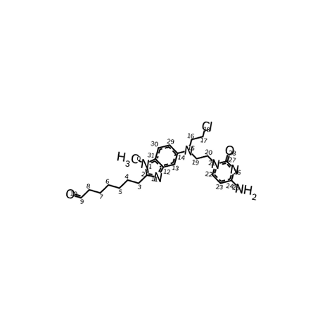 Cn1c(CCCCCCC=O)nc2cc(N(CCCl)CCn3ccc(N)nc3=O)ccc21